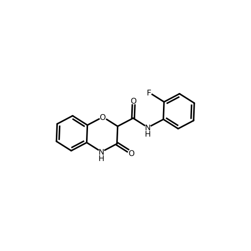 O=C(Nc1ccccc1F)C1Oc2ccccc2NC1=O